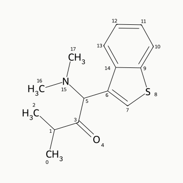 CC(C)C(=O)C(c1csc2ccccc12)N(C)C